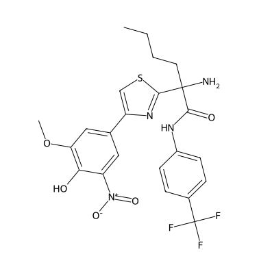 CCCCC(N)(C(=O)Nc1ccc(C(F)(F)F)cc1)c1nc(-c2cc(OC)c(O)c([N+](=O)[O-])c2)cs1